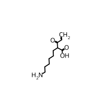 C=CC(=O)C(CCCCCCN)C(=O)O